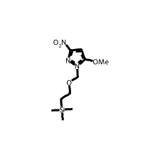 COc1cc([N+](=O)[O-])nn1COCC[Si](C)(C)C